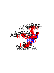 CC(=O)N/C(=C(\OC(C)=O)C(CCOC(C)=O)OC(C)=O)C(O)OCCOCCOCCNC(=O)CN(CC(=O)NCCOCCOCCOC(O)C(NC(C)=O)C(OC(C)=O)C(CCOC(C)=O)OC(C)=O)C(Cc1ccc(OCc2ccccc2)cc1)C(=O)NCCOCCOCCOC(O)/C(NC(C)=O)=C(/OC(C)=O)C(CCOC(C)=O)OC(C)=O